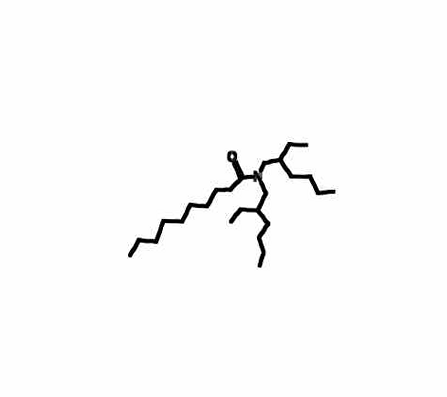 CCCCCCCCCC(=O)N(CC(CC)CCCC)CC(CC)CCCC